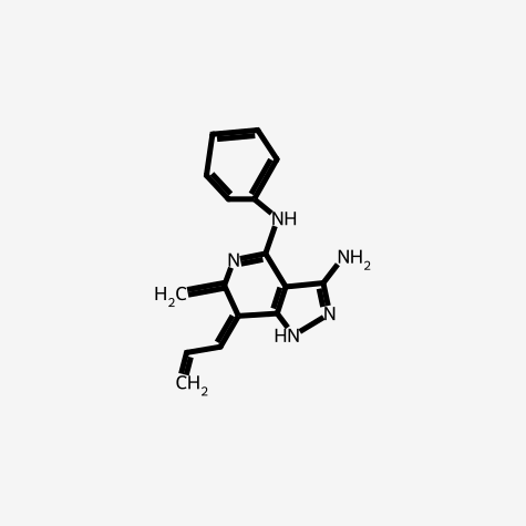 C=C/C=c1\c(=C)nc(Nc2ccccc2)c2c(N)n[nH]c12